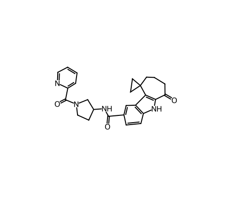 O=C(NC1CCN(C(=O)c2ccccn2)C1)c1ccc2[nH]c3c(c2c1)C1(CCCC3=O)CC1